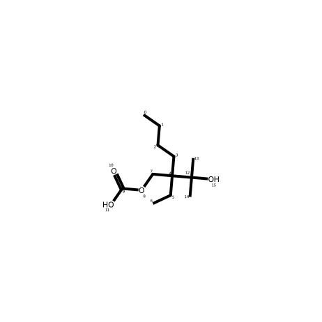 CCCCC(CC)(COC(=O)O)C(C)(C)O